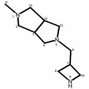 CN1CC2CN(CC3CNC3)CC2C1